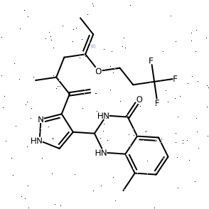 C=C(c1n[nH]cc1C1NC(=O)c2cccc(C)c2N1)C(C)C/C(=C\C)OCCC(F)(F)F